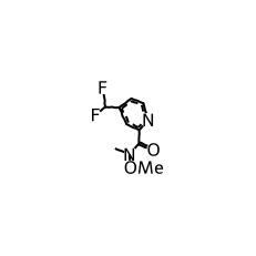 CON(C)C(=O)c1cc(C(F)F)ccn1